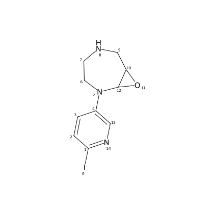 Ic1ccc(N2CCNCC3OC32)cn1